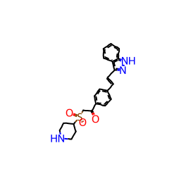 O=C(CS(=O)(=O)C1CCNCC1)c1ccc(C=Cc2n[nH]c3ccccc23)cc1